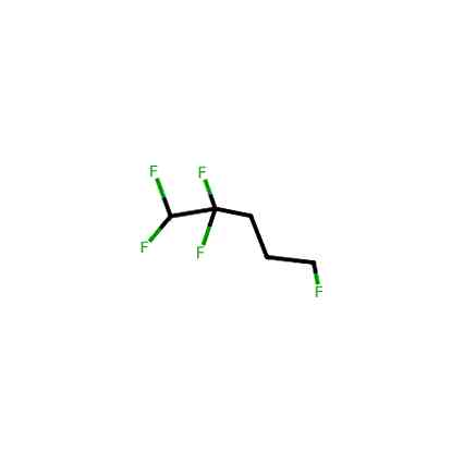 FCCCC(F)(F)[C](F)F